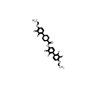 CCOc1ccc(-c2ccc(OC(=O)C3CCC(c4ccc(OCC)c(F)c4F)CC3)c(F)c2F)c(F)c1F